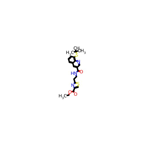 CCOC(=O)c1csc(CCNC(=O)c2cnc3c(SC(C)(C)C)cccc3c2)n1